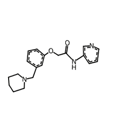 O=C(COc1cccc(CN2CCCCC2)c1)Nc1cccnc1